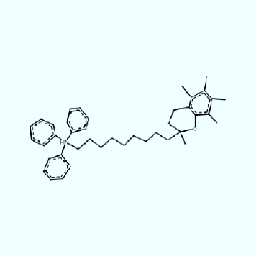 Cc1c(C)c(C)c2c(c1C)CCC(C)(CCCCCCCCC[PH](c1ccccc1)(c1ccccc1)c1ccccc1)O2